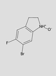 [O-][NH+]1CCc2cc(F)c(Br)cc21